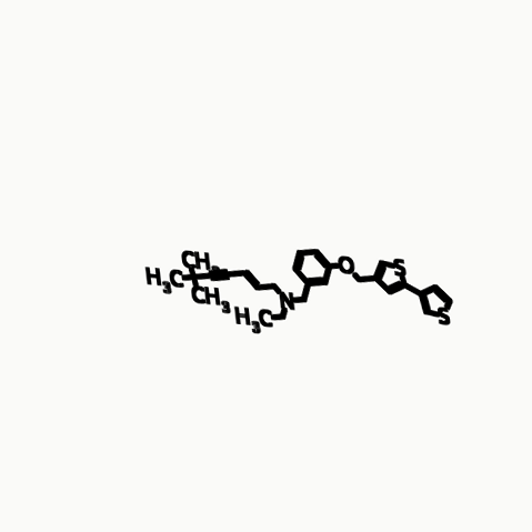 CCN(CC=CC#CC(C)(C)C)Cc1cccc(OCc2csc(-c3ccsc3)c2)c1